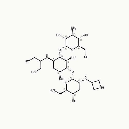 NC[C@H]1O[C@H](O[C@H]2[C@H](O)[C@@H](O[C@H]3O[C@H](CO)[C@@H](O)[C@H](N)[C@H]3O)[C@H](NC(CO)CO)C[C@@H]2N)[C@H](NC2CNC2)C[C@@H]1O